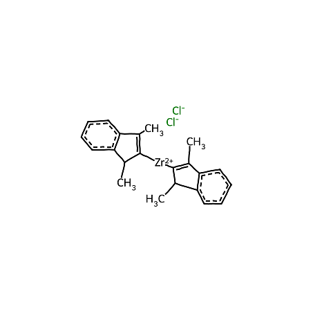 CC1=[C]([Zr+2][C]2=C(C)c3ccccc3C2C)C(C)c2ccccc21.[Cl-].[Cl-]